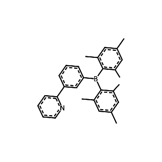 Cc1cc(C)c(B(c2cccc(-c3ccccn3)c2)c2c(C)cc(C)cc2C)c(C)c1